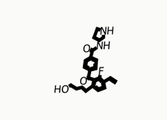 C=Cc1ccc(CCCCO)c(C(=O)c2ccc(C(=O)N[C@H]3CCNC3)cc2)c1F